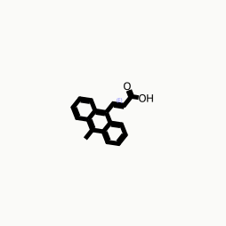 Cc1c2ccccc2c(/C=C/C(=O)O)c2ccccc12